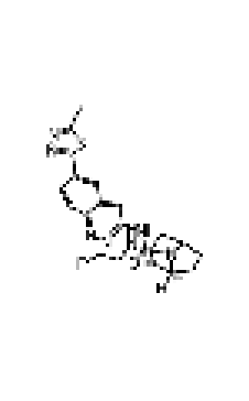 Cc1nnc(-c2ccc3nnc(NC(=O)N4C5CC[C@@H]4C[C@H](NCCF)C5)cc3c2)s1